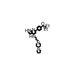 CCN(CC)C(=O)c1ccc(-c2cc(NCCCN3CCC(N4CCCC4)CC3)c3cc[nH]c3n2)cc1